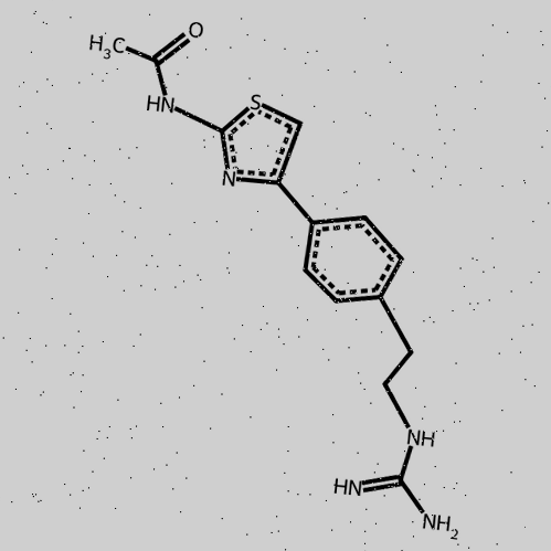 CC(=O)Nc1nc(-c2ccc(CCNC(=N)N)cc2)cs1